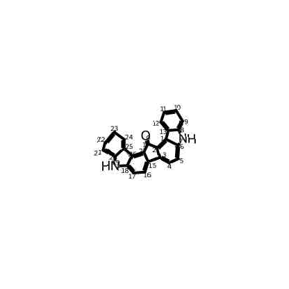 O=C1c2c(ccc3[nH]c4ccccc4c23)-c2ccc3[nH]c4ccccc4c3c21